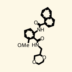 COc1cccc(NC(=O)c2cccc3ccccc23)c1C(=O)NCC1COCCO1